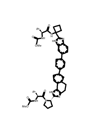 COC(=O)N[C@H](C(=O)NC1(c2nc3ccc(-c4ccc(-c5ccc6c(c5)CCc5nc([C@@H]7CCCN7C(=O)[C@@H](NC(=O)OC)C(C)C)[nH]c5-6)cc4)cc3[nH]2)CCC1)C(C)C